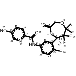 CC1(C)OCC(=S)N[C@](C)(c2cc(NC(=O)c3ccc(C#N)cn3)ccc2F)C1(F)F